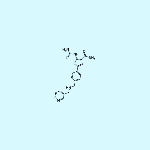 NC(=O)Nc1sc(-c2ccc(CNCc3cccnc3)cc2)cc1C(N)=O